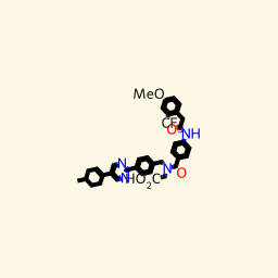 COc1ccc(CC(=O)Nc2ccc(C(=O)N(CC(=O)O)Cc3ccc(-c4ncc(C5=CCC(C)CC5)cn4)cc3)cc2)c(C(F)(F)F)c1